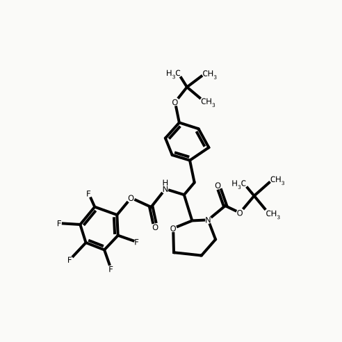 CC(C)(C)OC(=O)N1CCCOC1C(Cc1ccc(OC(C)(C)C)cc1)NC(=O)Oc1c(F)c(F)c(F)c(F)c1F